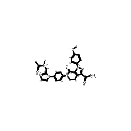 COc1ccc(-n2nc(C(N)=O)c3c2C(=O)N(c2ccc(-n4ccnc4CN(C)C(C)=O)cc2)CC3)cc1